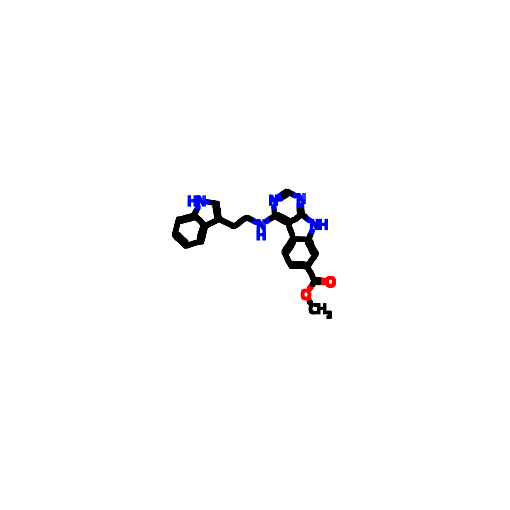 COC(=O)c1ccc2c(c1)[nH]c1ncnc(NCCc3c[nH]c4ccccc34)c12